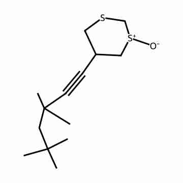 CC(C)(C)CC(C)(C)C#CC1CSC[S+]([O-])C1